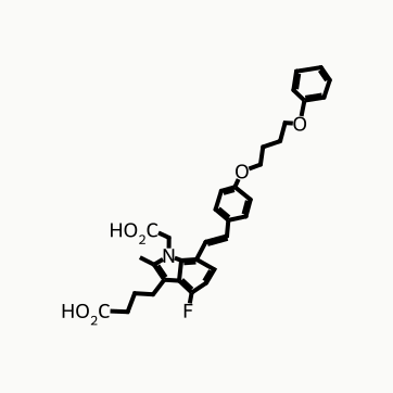 Cc1c(CCCC(=O)O)c2c(F)ccc(C=Cc3ccc(OCCCCOc4ccccc4)cc3)c2n1CC(=O)O